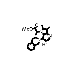 COC(=O)C(C)n1c(C)c(C)c2nccc(N3CCc4ccccc4C3)c21.Cl